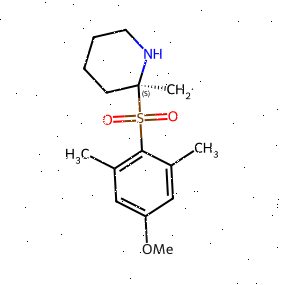 [CH2][C@]1(S(=O)(=O)c2c(C)cc(OC)cc2C)CCCCN1